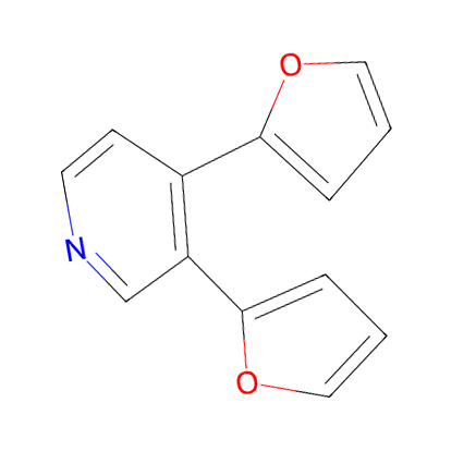 c1coc(-c2ccncc2-c2ccco2)c1